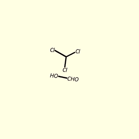 ClC(Cl)Cl.O=CO